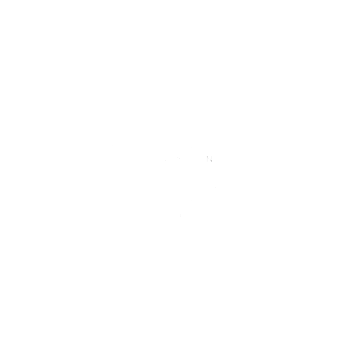 O=C(OCc1ccccc1)c1cc(Br)cc2c1NCCCC2